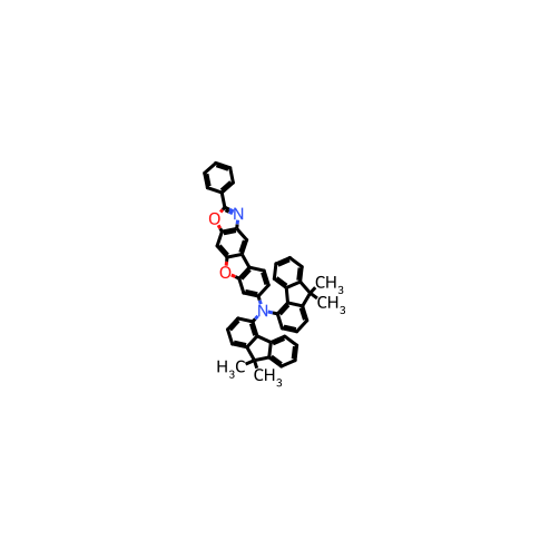 CC1(C)c2ccccc2-c2c(N(c3ccc4c(c3)oc3cc5oc(-c6ccccc6)nc5cc34)c3cccc4c3-c3ccccc3C4(C)C)cccc21